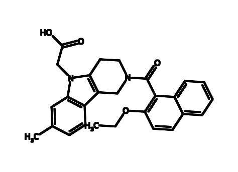 CCOc1ccc2ccccc2c1C(=O)N1CCc2c(c3ccc(C)cc3n2CC(=O)O)C1